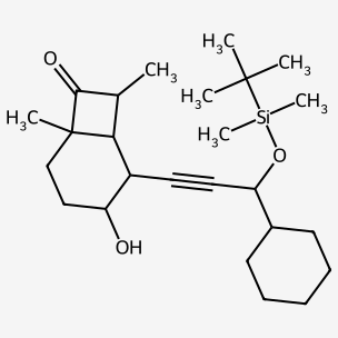 CC1C(=O)C2(C)CCC(O)C(C#CC(O[Si](C)(C)C(C)(C)C)C3CCCCC3)C12